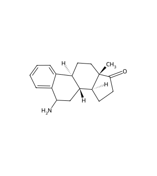 C[C@]12CC[C@@H]3c4ccccc4C(N)C[C@H]3[C@@H]1CCC2=O